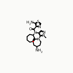 Cn1ncc(N(C(=O)c2ncsc2N)C2C=CCCCC2)c1N1CCCC(N)CC1